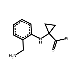 CCC(=O)C1(Nc2ccccc2CN)CC1